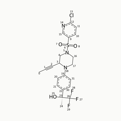 CC#CC1CN(S(=O)(=O)c2ccc(Cl)nc2)CCN1c1ccc([C@](C)(O)C(F)(F)F)cc1